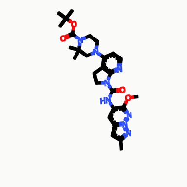 COc1nn2nc(C)cc2cc1NC(=O)N1CCc2c(N3CCN(C(=O)OC(C)(C)C)C(C)(C)C3)ccnc21